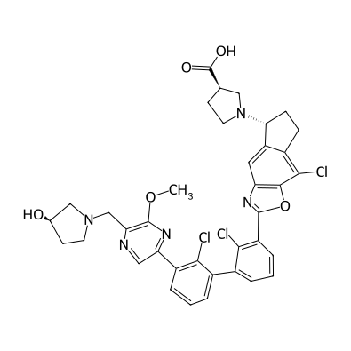 COc1nc(-c2cccc(-c3cccc(-c4nc5cc6c(c(Cl)c5o4)CC[C@H]6N4CC[C@@H](C(=O)O)C4)c3Cl)c2Cl)cnc1CN1CC[C@@H](O)C1